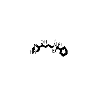 CCC(CC)(NCCCC(O)c1c[nH]cn1)c1ccccc1